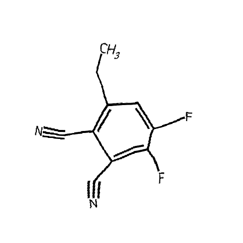 CCc1cc(F)c(F)c(C#N)c1C#N